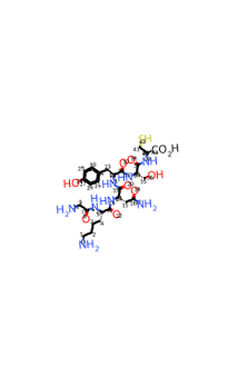 NCCCC[C@H](NC(=O)CN)C(=O)N[C@@H](CC(N)=O)C(=O)N[C@@H](Cc1ccc(O)cc1)C(=O)N[C@@H](CO)C(=O)N[C@@H](CS)C(=O)O